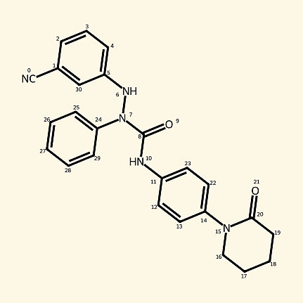 N#Cc1cccc(NN(C(=O)Nc2ccc(N3CCCCC3=O)cc2)c2ccccc2)c1